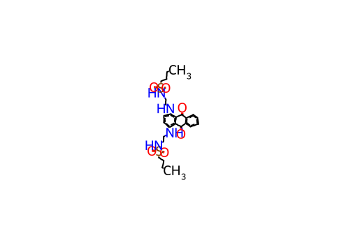 CCCCS(=O)(=O)NCCNc1ccc(NCCNS(=O)(=O)CCCC)c2c1C(=O)c1ccccc1C2=O